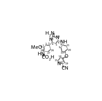 COc1cc(-c2cc(Nc3ccc(Oc4ccnc(C#N)c4)cc3)nc(N)n2)ccc1NC(=O)O